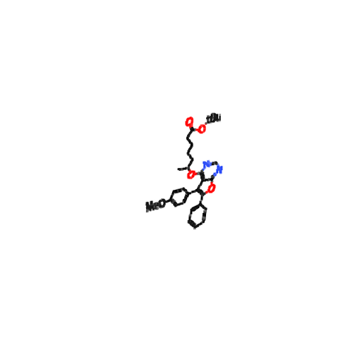 COc1ccc(-c2c(-c3ccccc3)oc3ncnc(OC(C)CCCCC(=O)OC(C)(C)C)c23)cc1